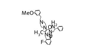 COc1cccc(CCN2CCN(c3c(C)n(Cc4c(F)cccc4F)c(=O)n(C[C@H](N)c4ccccc4)c3=O)CC2)c1